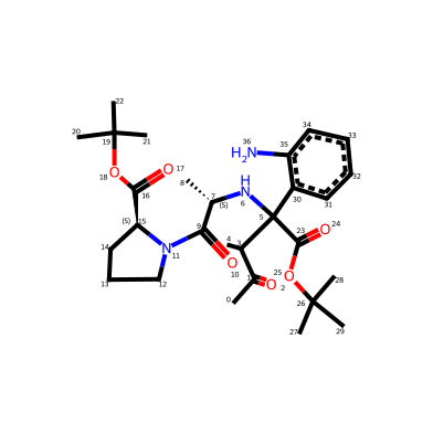 CC(=O)C(C)C(N[C@@H](C)C(=O)N1CCC[C@H]1C(=O)OC(C)(C)C)(C(=O)OC(C)(C)C)c1ccccc1N